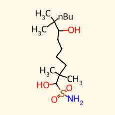 CCCCC(C)(C)C(O)CCCCC(C)(C)C(O)S(N)(=O)=O